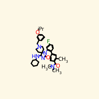 Cc1cc(-c2ccc(F)cc2N2C(=O)N=C(NC3CCCCC3)C23CCN(Cc2cccc(OC(C)C)c2)CC3)ccc1C(=O)N(C)C